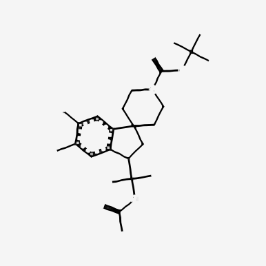 CC(=O)NC(C)(C)C1CC2(CCN(C(=O)OC(C)(C)C)CC2)c2cc(Cl)c(C)cc21